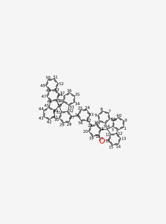 c1ccc(C2(c3ccccc3)c3ccccc3Oc3ccc(-c4cccc(-c5cccc6c5-c5ccccc5C65c6ccccc6-c6cc7ccccc7cc65)c4)cc32)cc1